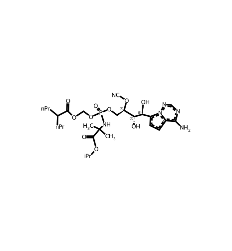 CCCC(CCC)C(=O)OCOP(=O)(NC(C)(C)C(=O)OC(C)C)OC[C@@H](OC#N)[C@@H](O)[C@@H](O)c1ccc2c(N)ncnn12